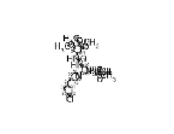 COc1cc(NC(=O)NC2CN(CCS(C)(=O)=O)CC2N2CCC(Cc3ccc(Cl)cc3)CC2)cc(OC)c1OC.Cl.Cl